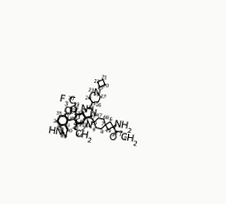 C=CC(=O)C1(N)CC2(CCC(N)(c3nc(C4CCN(C5CCC5)CC4)nc4c(OCC(F)(F)F)c(-c5c(C)ccc6[nH]ncc56)c(C=C)cc34)CC2)C1